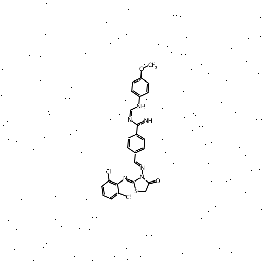 N=C(/N=C\Nc1ccc(OC(F)(F)F)cc1)c1ccc(/C=N/N2C(=O)CS/C2=N\c2c(Cl)cccc2Cl)cc1